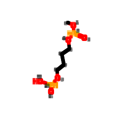 CO[PH](=O)OCCCCO[PH](=O)O